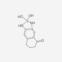 O=C1[CH]CCc2cc3c(cc21)NS(O)(O)N3